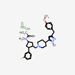 CCn1nc(Cc2ccc(OC(F)(F)F)cc2)cc1C1CCN(CC2CC(N(C)[C@@H](C(=O)O)C(C)C)CC2c2cccc(F)c2)CC1.Cl.Cl.Cl